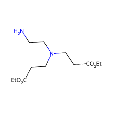 CCOC(=O)CCN(CCN)CCC(=O)OCC